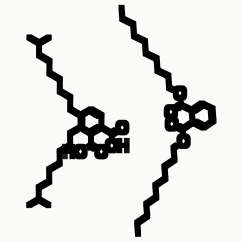 CC(C)CCCCCCCc1ccc(C(=O)O)c(C(=O)O)c1CCCCCCCC(C)C.CCCCCCCCCCOC(=O)c1ccccc1C(=O)OCCCCCCCCCC